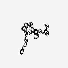 N#Cc1cncc(COc2cc(CCC(=O)N3CCCC4(CCCN(C(=O)CCCN5CC[C@@H](OCc6ccccc6)C5)C4)C3)c(Cl)cc2C=O)c1